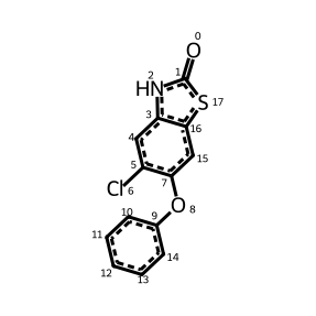 O=c1[nH]c2cc(Cl)c(Oc3ccccc3)cc2s1